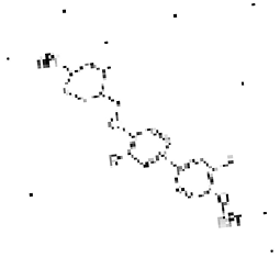 CCCOc1ccc(-c2ccc(OCC3CCC(CCC)CC3)c(F)c2)cc1F